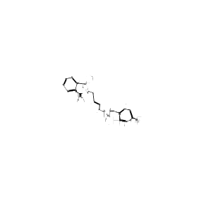 CN(C/C=C/CN1C(=O)c2ccccc2C1=O)Cc1ccc(F)cc1